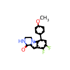 COc1ccc(-c2cc(F)c(F)c3cc4n(c23)CCNC4=O)cc1